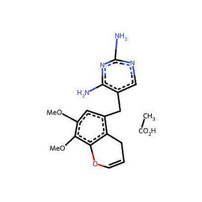 CC(=O)O.COc1cc(Cc2cnc(N)nc2N)c2c(c1OC)OC=CC2